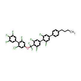 CCCCc1ccc(-c2cc(F)c(-c3cc(F)c(C(F)(F)Oc4cc(F)c(-c5cc(F)c(F)c(F)c5)c(Cl)c4)c(F)c3)c(F)c2)cc1